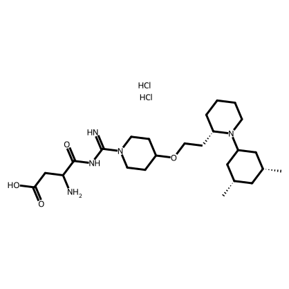 C[C@@H]1CC(N2CCCC[C@H]2CCOC2CCN(C(=N)NC(=O)C(N)CC(=O)O)CC2)C[C@H](C)C1.Cl.Cl